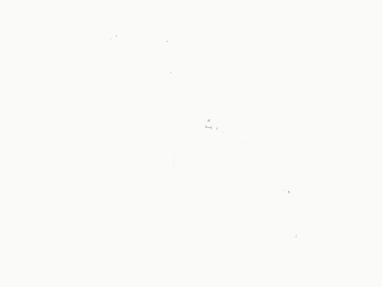 [I][Ag]([CH2]c1ccccc1)[CH2]c1ccccc1